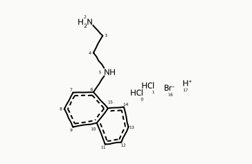 Cl.Cl.NCCNc1cccc2ccccc12.[Br-].[H+]